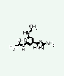 CCNc1cc(-c2nc(N)n[nH]2)cc(NC(C)C)n1